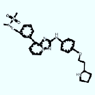 CN(Cc1cccc(-c2cccn3nc(Nc4ccc(OCCC5CCCN5)cc4)nc23)c1)S(C)(=O)=O